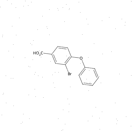 O=C(O)c1ccc(Oc2ccccc2)c(Br)c1